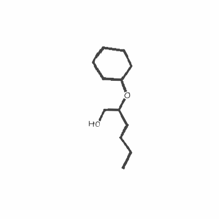 CCCCC(CO)OC1CCCCC1